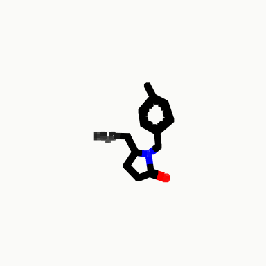 Cc1ccc(CN2C(=O)CCC2CC(=O)O)cc1